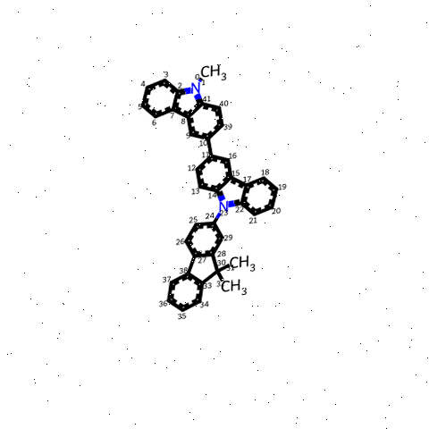 Cn1c2ccccc2c2cc(-c3ccc4c(c3)c3ccccc3n4-c3ccc4c(c3)C(C)(C)c3ccccc3-4)ccc21